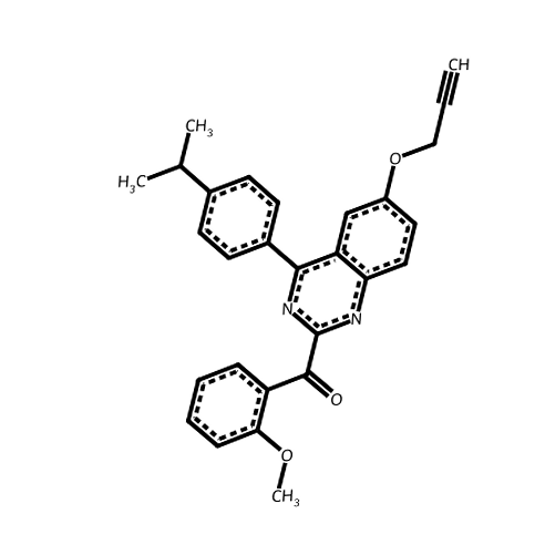 C#CCOc1ccc2nc(C(=O)c3ccccc3OC)nc(-c3ccc(C(C)C)cc3)c2c1